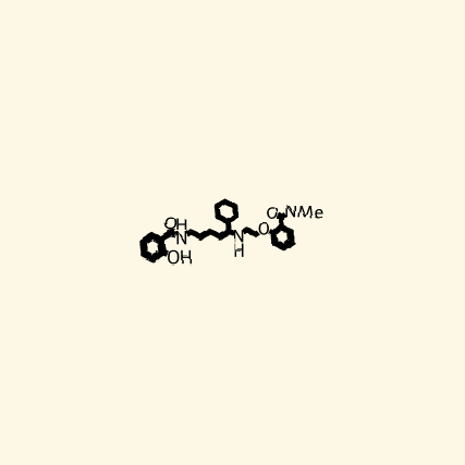 CNC(=O)c1ccccc1OCCNC(CCCCNC(=O)c1ccccc1O)C1CCCCC1